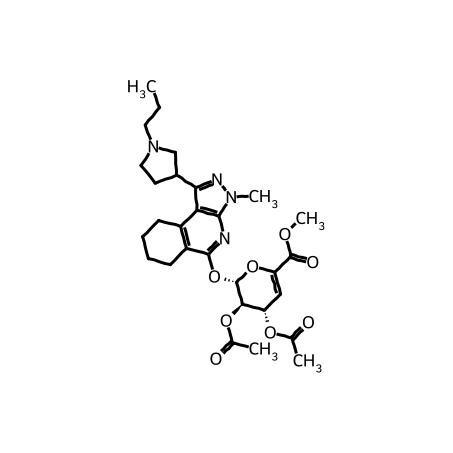 CCCN1CCC(c2nn(C)c3nc(O[C@@H]4OC(C(=O)OC)=C[C@H](OC(C)=O)[C@H]4OC(C)=O)c4c(c23)CCCC4)C1